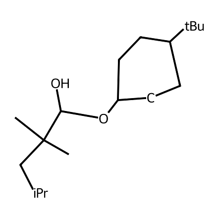 CC(C)CC(C)(C)C(O)OC1CCC(C(C)(C)C)CC1